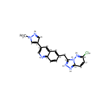 Cn1cc(-c2cnc3ccc(Cc4nnc5ccc(Cl)nn45)cc3c2)cn1